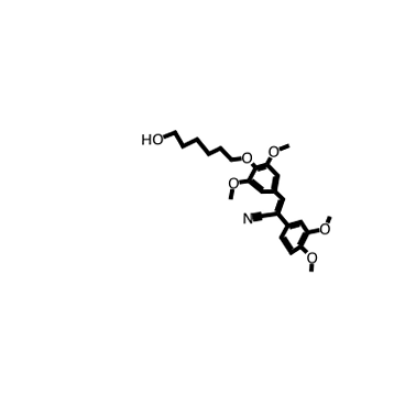 COc1ccc(C(C#N)=Cc2cc(OC)c(OCCCCCCO)c(OC)c2)cc1OC